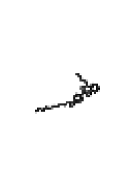 CCCCCCCCCCOc1ccc(C(=O)Oc2ccccc2CCCCC)cc1